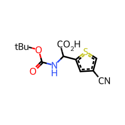 CC(C)(C)OC(=O)NC(C(=O)O)c1cc(C#N)cs1